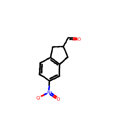 O=CC1Cc2ccc([N+](=O)[O-])cc2C1